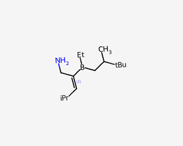 CCB(CC(C)C(C)(C)C)/C(=C/C(C)C)CN